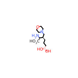 N[C@H](C(=O)O)[C@H](CCCB(O)O)CN1CCOCC1